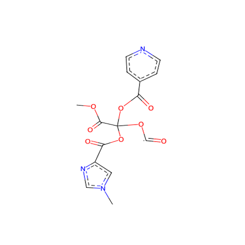 COC(=O)C(O[C]=O)(OC(=O)c1ccncc1)OC(=O)c1cn(C)cn1